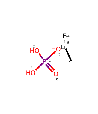 O=P(O)(O)O.[Fe].[Li][CH3]